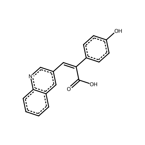 O=C(O)C(=Cc1cnc2ccccc2c1)c1ccc(O)cc1